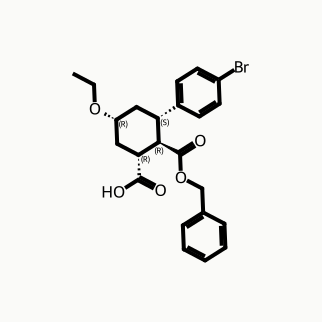 CCO[C@@H]1C[C@H](c2ccc(Br)cc2)[C@@H](C(=O)OCc2ccccc2)[C@H](C(=O)O)C1